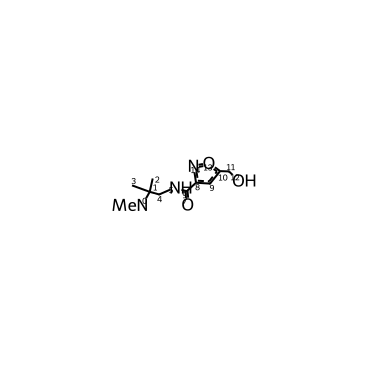 CNC(C)(C)CNC(=O)c1cc(CO)on1